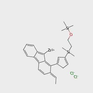 CC=c1ccc2c(c1C1=CC([Si](C)(C)CCO[Si](C)(C)C)=CC1)[C]([Zr+2])=c1ccccc1=2.[Cl-].[Cl-]